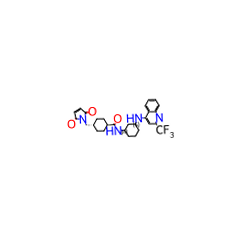 O=C1C=CC(=O)N1C[C@H]1CC[C@H](C(=O)N[C@@H]2CCC[C@H](Nc3cc(C(F)(F)F)nc4ccccc34)C2)CC1